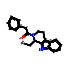 CC(C)CC1c2[nH]c3ccccc3c2CCN1C(=O)Cc1ccccc1